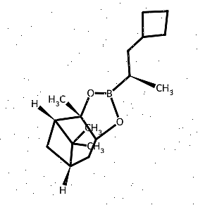 C[C@H](CC1CCC1)B1OC2C[C@@H]3C[C@@H](C3(C)C)[C@]2(C)O1